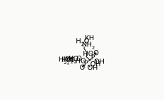 NCCCC(O)(P(=O)(O)O)P(=O)(O)O.O.O.O.O.O.[KH].[KH]